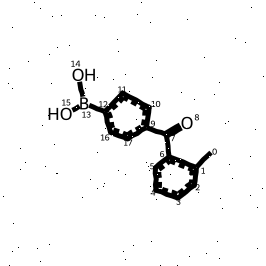 Cc1ccccc1C(=O)c1ccc(B(O)O)cc1